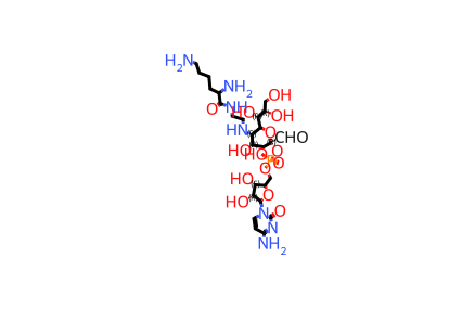 NCCCCC(N)C(=O)NCCN[C@H]1C([C@H](O)[C@H](O)CO)O[C@@](C=O)(OP(=O)(O)OCC2OC(n3ccc(N)nc3=O)[C@H](O)[C@@H]2O)C[C@H]1O